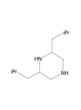 CC(C)CC1CNCC(CC(C)C)N1